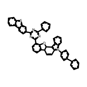 C1=CC2c3cccc(-c4nc(-c5ccccc5)nc(-c5ccc6c(c5)sc5ccccc56)n4)c3OC2c2c1n(-c1ccc(-c3ccccc3)cc1)c1ccccc21